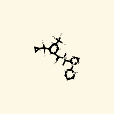 CC(c1ncnn1-c1ncccn1)N(C)C(=O)c1cc(C(F)(F)F)cc(C(F)(F)C2CC2)c1